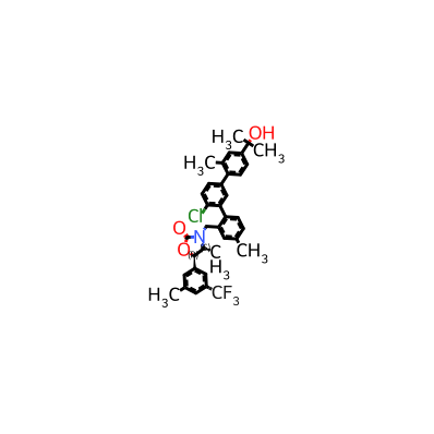 Cc1cc([C@H]2OC(=O)N(Cc3cc(C)ccc3-c3cc(-c4ccc(C(C)(C)O)cc4C)ccc3Cl)[C@H]2C)cc(C(F)(F)F)c1